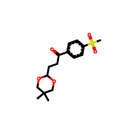 CC1(C)COC(CCC(=O)c2ccc(S(C)(=O)=O)cc2)OC1